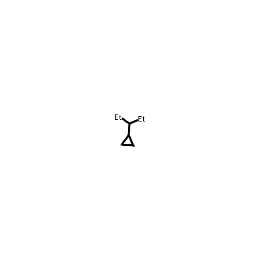 CCC(CC)C1CC1